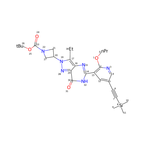 CCCOc1ncc(C#C[Si](C)(C)C)cc1-c1nc2c(CC)n(C3CN(C(=O)OC(C)(C)C)C3)nc2c(=O)[nH]1